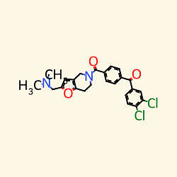 CN(C)Cc1cc2c(o1)CCN(C(=O)c1ccc(C(=O)c3ccc(Cl)c(Cl)c3)cc1)C2